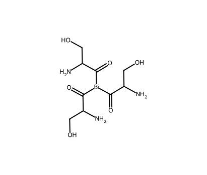 NC(CO)[C](=O)[Bi]([C](=O)C(N)CO)[C](=O)C(N)CO